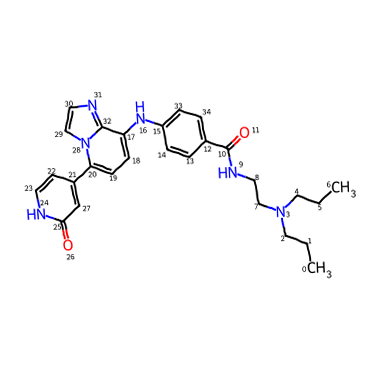 CCCN(CCC)CCNC(=O)c1ccc(Nc2ccc(-c3cc[nH]c(=O)c3)n3ccnc23)cc1